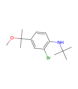 COC(C)(C)c1ccc(NC(C)(C)C)c(Br)c1